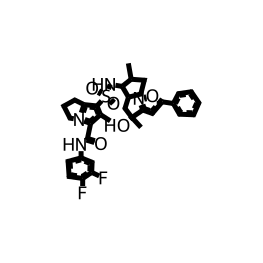 Cc1c(S(=O)(=O)NC2C(C)CCC2CC(C)(O)c2cc(-c3ccccc3)on2)c2n(c1C(=O)Nc1ccc(F)c(F)c1)CCC2